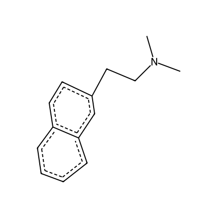 CN(C)CCc1ccc2ccccc2c1